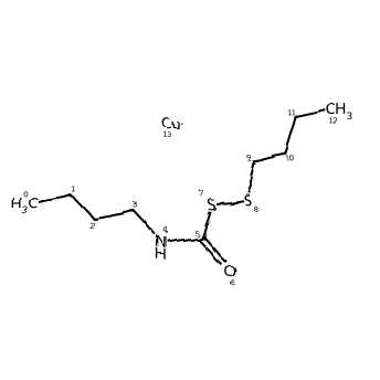 CCCCNC(=O)SSCCCC.[Cu]